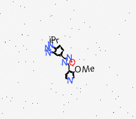 COc1cnccc1-c1nc(-c2ccc3c(c2)nnn3C(C)C)no1